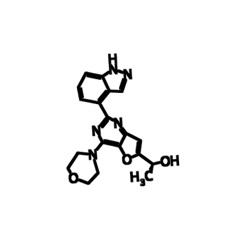 C[C@H](O)c1cc2nc(-c3cccc4[nH]ncc34)nc(N3CCOCC3)c2o1